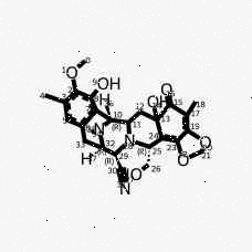 COc1c(C)cc2c(c1O)[C@@H]1C3CC4(O)C(=O)C(C)=C5OCOC5=C4[C@H](CO)N3[C@@H](C#N)[C@@H](C2)N1C